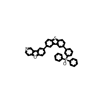 O=P(c1ccccc1)(c1ccccc1)c1cccc(-c2ccc3sc4ccc(-c5ccc6oc7ccncc7c6c5)cc4c3c2)c1